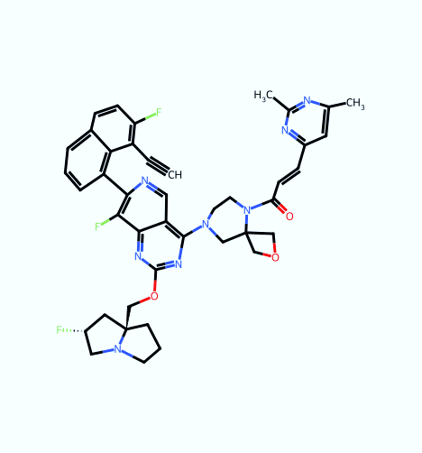 C#Cc1c(F)ccc2cccc(-c3ncc4c(N5CCN(C(=O)/C=C/c6cc(C)nc(C)n6)C6(COC6)C5)nc(OC[C@@]56CCCN5C[C@H](F)C6)nc4c3F)c12